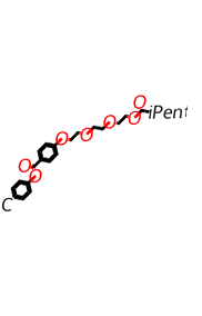 CCCC(C)C(=O)OCCOCCOCCOc1ccc(C(=O)Oc2ccc(C(=O)O)cc2)cc1